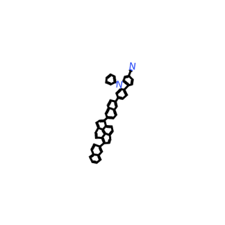 N#Cc1ccc2c3ccc(-c4ccc5cc(-c6ccc7ccc8c(-c9ccc%10ccccc%10c9)ccc9ccc6c7c98)ccc5c4)cc3n(-c3ccccc3)c2c1